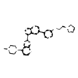 CN1CCN(c2ccnc3[nH]c(-c4n[nH]c5ncc(-c6cncc(OCCN7CCCC7)c6)cc45)nc23)CC1